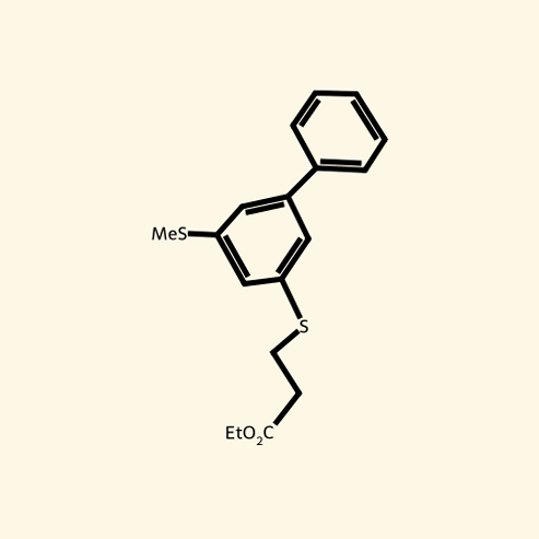 CCOC(=O)CCSc1cc(SC)cc(-c2ccccc2)c1